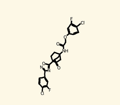 O=C(COc1ccc(Cl)c(F)c1)NC12CCC(c3nc(-c4ccc(Cl)c(F)c4)no3)(CC1)C(=O)C2